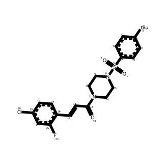 CC(C)(C)c1ccc(S(=O)(=O)N2CCN(C(=O)C=Cc3ccc(Cl)cc3F)CC2)cc1